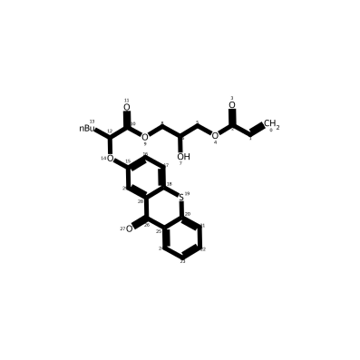 C=CC(=O)OCC(O)COC(=O)C(CCCC)Oc1ccc2sc3ccccc3c(=O)c2c1